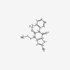 N#CCCn1c(=O)n(-c2cnccc2C(F)(F)F)c(=O)c2sc(Br)cc21